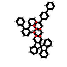 c1ccc(-c2ccc(-c3ccc(N(c4ccc5c(c4)-c4ccccc4C54c5ccccc5-c5ccccc54)c4cccc(-c5ccccc5)c4-c4ccccc4-c4ccccc4)cc3)cc2)cc1